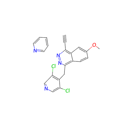 C#Cc1nnc(Cc2c(Cl)cncc2Cl)c2ccc(OC)cc12.c1ccncc1